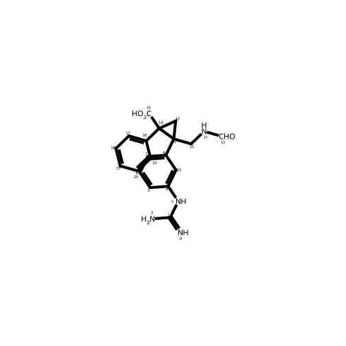 N=C(N)Nc1cccc(C2(CNC=O)CC2(C(=O)O)c2ccccc2)c1